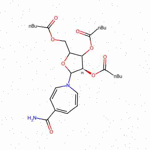 CCCCC(=O)OCC1OC(N2C=CC=C(C(N)=O)C=C2)[C@H](OC(=O)CCCC)C1OC(=O)CCCC